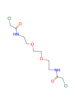 O=C(CCl)NCCOCCOCCNC(=O)CCl